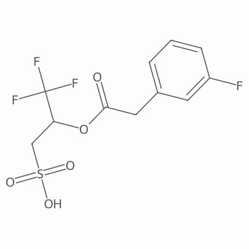 O=C(Cc1cccc(F)c1)OC(CS(=O)(=O)O)C(F)(F)F